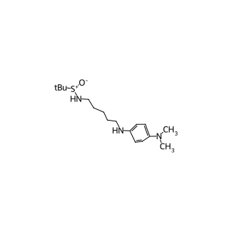 CN(C)c1ccc(NCCCCCN[S+]([O-])C(C)(C)C)cc1